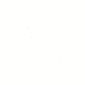 CC(C)c1cc(=O)c(C(C)C)c(C(C)C)o1